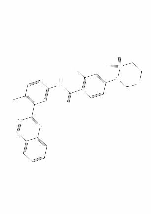 Cc1cc(N2COCCS2(=O)=O)ccc1C(=O)Nc1ccc(Cl)c(-c2ncc3ccccc3n2)c1